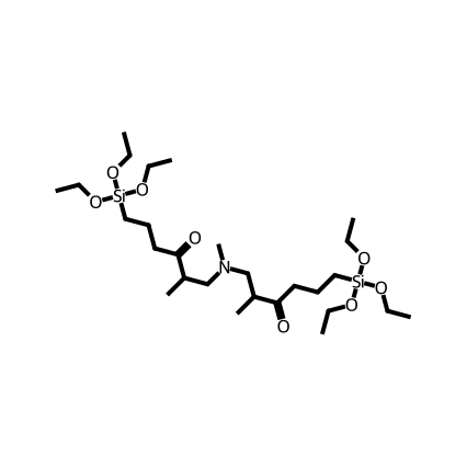 CCO[Si](CCCC(=O)C(C)CN(C)CC(C)C(=O)CCC[Si](OCC)(OCC)OCC)(OCC)OCC